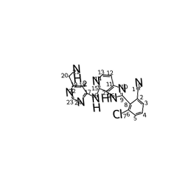 N#Cc1cccc(Cl)c1-c1nc2ccnc(Nc3cc(CN)ncn3)c2[nH]1